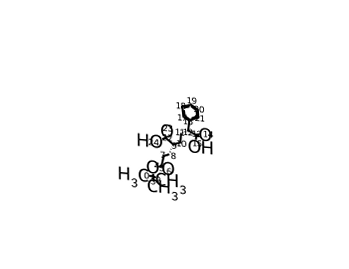 CC(C)(C)OC(=O)CC[C@@H](CC[C@@H](C(=O)O)c1ccccc1)C(=O)O